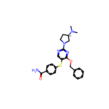 CN(C)[C@@H]1CCN(c2ncc(Sc3ccc(C(N)=O)cc3)c(OCc3ccccc3)n2)C1